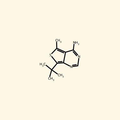 Cc1sc(C(C)(C)C)c2ncnc(N)c12